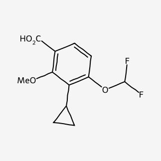 COc1c(C(=O)O)ccc(OC(F)F)c1C1CC1